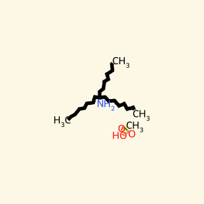 CCCCCCCCC(N)(CCCCCCCC)CCCCCCCC.CS(=O)(=O)O